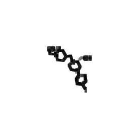 O=C(O)CN1CCC(CN2CCN(c3ccc(I)cc3)C[C@H]2CO)CC1